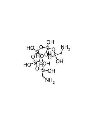 NC[Si](O)(O)O[Si](O)(O)O[Si](O)(O)O[Si](O)(O)O[Si](O)(O)CN